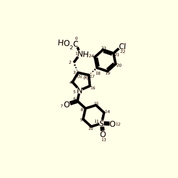 O=C(O)NC[C@H]1CN(C(=O)C2CCS(=O)(=O)CC2)C[C@H]1c1ccc(Cl)cc1